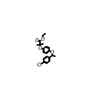 CCOC(=O)C(C)(C)Oc1ccc(OC(C)c2ccc(Cl)cc2)cc1